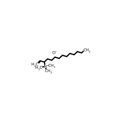 C=CC(CCCCCCCCCCC)[N+](C)(C)C.[Cl-]